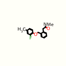 CNC(=O)Cc1ccccc1COc1ccc(C)cc1F